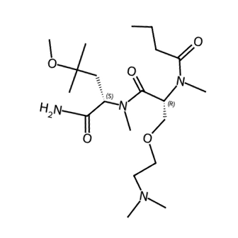 CCCC(=O)N(C)[C@H](COCCN(C)C)C(=O)N(C)[C@@H](CC(C)(C)OC)C(N)=O